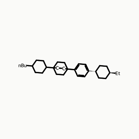 CCCCC1CCC(C23CCC(c4ccc([C@H]5CC[C@H](CC)CC5)cc4)(CC2)CC3)CC1